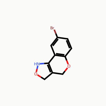 Brc1ccc2c(c1)C1=C(CON1)CO2